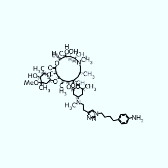 CC[C@H]1OC(=O)[C@H](C)[C@@H](O[C@H]2C[C@@](C)(OC)[C@@H](O)[C@H](C)O2)[C@H](C)[C@@H](O[C@H]2C[C@@H](N(C)CCc3cn(CCCCc4ccc(N)cc4)nn3)C[C@@H](C)O2)[C@](C)(O)C[C@@H](C)CN(C)[C@H](C)[C@@H](O)[C@]1(C)O